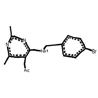 CC(=O)c1c(C)nc(C)nc1NCc1ccc(Br)cc1